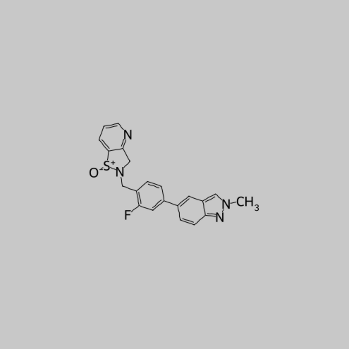 Cn1cc2cc(-c3ccc(CN4Cc5ncccc5[S+]4[O-])c(F)c3)ccc2n1